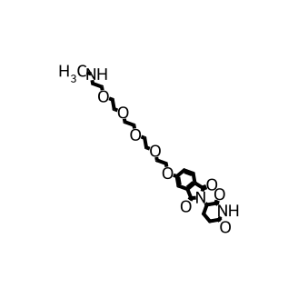 CNCCOCCOCCOCCOCCOc1ccc2c(c1)C(=O)N(C1CCC(=O)NC1=O)C2=O